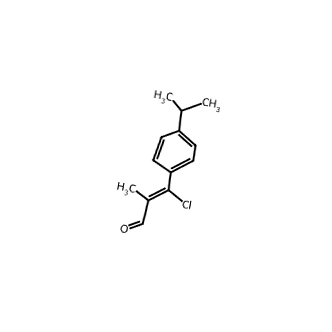 C/C(C=O)=C(/Cl)c1ccc(C(C)C)cc1